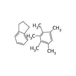 Cc1cc(C)c(C)c(C)c1C.c1ccc2c(c1)CCC2